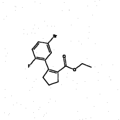 CCOC(=O)C1=C(c2cc(Br)ccc2F)CCC1